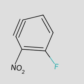 O=[N+]([O-])c1c#cccc1F